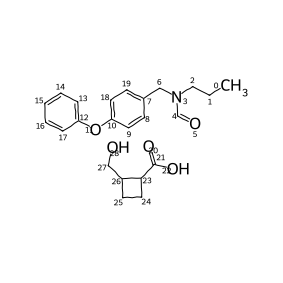 CCCN(C=O)Cc1ccc(Oc2ccccc2)cc1.O=C(O)C1CCC1CO